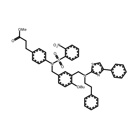 COC(=O)CCc1ccc(N(Cc2ccc(OCC(C)C)c(CN(CCc3ccccc3)c3nc(-c4ccccc4)cs3)c2)S(=O)(=O)c2ccccc2[N+](=O)[O-])cc1